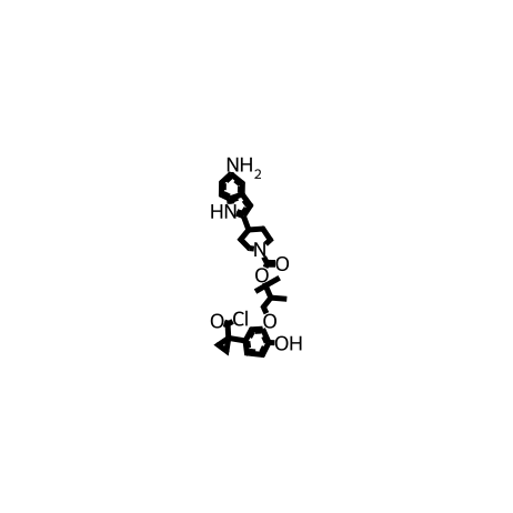 CC(COc1cc(C2(C(=O)Cl)CC2)ccc1O)C(C)(C)OC(=O)N1CCC(c2cc3cc(N)ccc3[nH]2)CC1